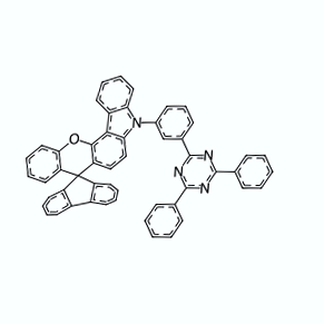 c1ccc(-c2nc(-c3ccccc3)nc(-c3cccc(-n4c5ccccc5c5c6c(ccc54)C4(c5ccccc5O6)c5ccccc5-c5ccccc54)c3)n2)cc1